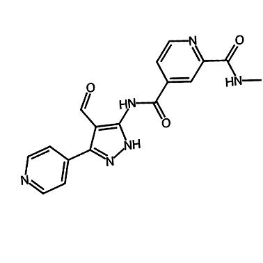 CNC(=O)c1cc(C(=O)Nc2[nH]nc(-c3ccncc3)c2C=O)ccn1